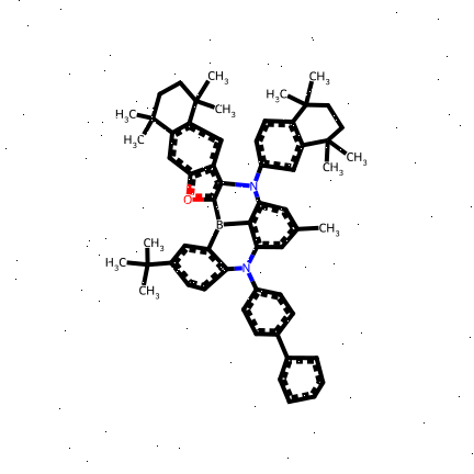 Cc1cc2c3c(c1)N(c1ccc4c(c1)C(C)(C)CCC4(C)C)c1c(oc4cc5c(cc14)C(C)(C)CCC5(C)C)B3c1cc(C(C)(C)C)ccc1N2c1ccc(-c2ccccc2)cc1